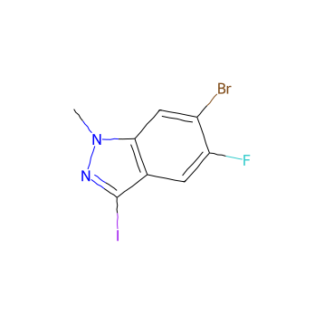 Cn1nc(I)c2cc(F)c(Br)cc21